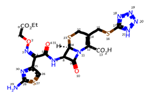 CCOC(=O)CO/N=C(\C(=O)NC1C(=O)N2C(C(=O)O)=C(CSc3nnn[nH]3)CS[C@H]12)c1csc(N)n1